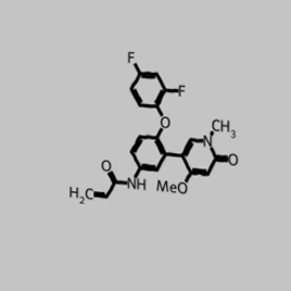 C=CC(=O)Nc1ccc(Oc2ccc(F)cc2F)c(-c2cn(C)c(=O)cc2OC)c1